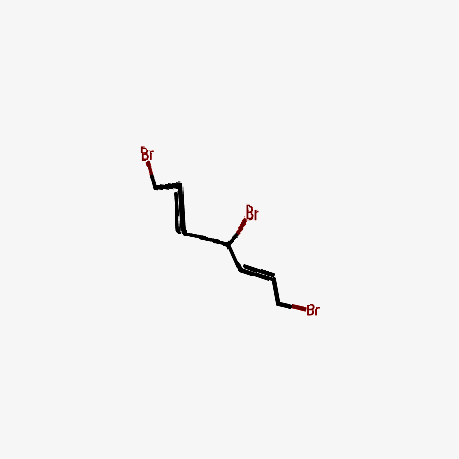 BrCC=CC(Br)C=CCBr